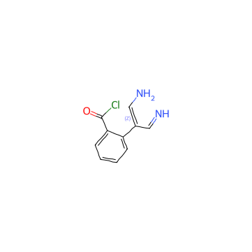 N=C/C(=C\N)c1ccccc1C(=O)Cl